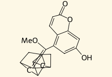 CO/C(=C1\C2CC3CC4(C2)CC1CC34)c1cc(O)cc2oc(=O)ccc12